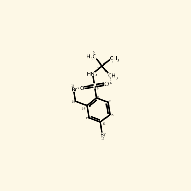 CC(C)(C)NS(=O)(=O)c1ccc(Br)cc1CBr